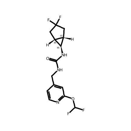 O=C(NCc1ccnc(OC(F)F)c1)N[C@H]1[C@@H]2CC(F)(F)C[C@@H]21